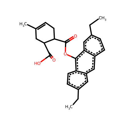 CCc1ccc2c(OC(=O)C3CC=C(C)CC3C(=O)O)c3cc(CC)ccc3cc2c1